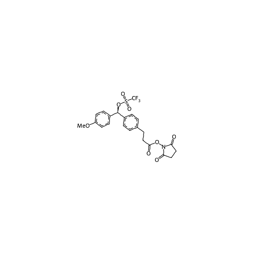 COc1ccc([C@@H](OS(=O)(=O)C(F)(F)F)c2ccc(CCC(=O)ON3C(=O)CCC3=O)cc2)cc1